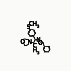 CSc1ccc(C(=NOCc2ccccc2)C(C)N2CCOCC2)cc1